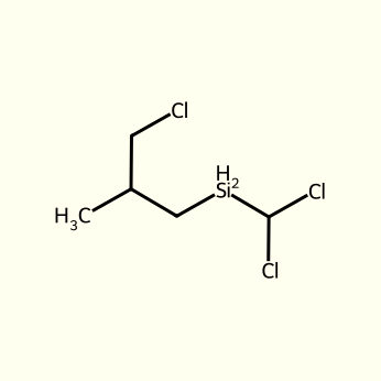 CC(CCl)C[SiH2]C(Cl)Cl